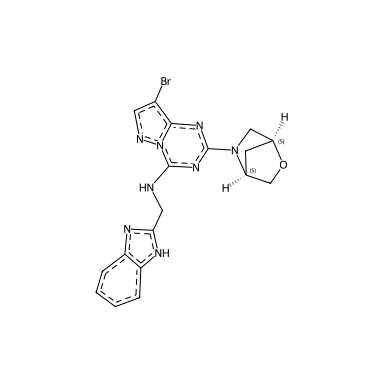 Brc1cnn2c(NCc3nc4ccccc4[nH]3)nc(N3C[C@@H]4C[C@H]3CO4)nc12